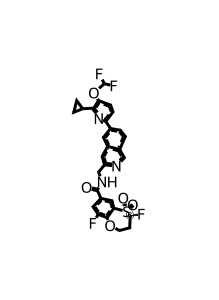 O=C(NCc1cc2cc(-c3ccc(OC(F)F)c(C4CC4)n3)ccc2cn1)c1cc(F)c2c(c1)S(=O)(=O)[C@@H](F)CCO2